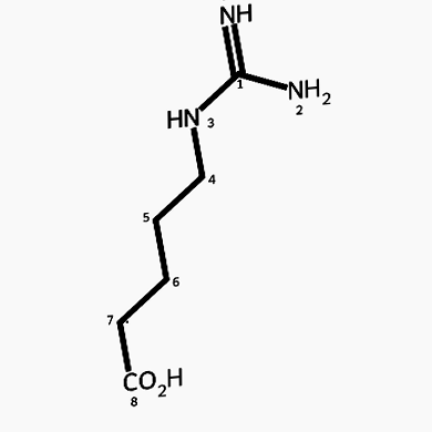 N=C(N)NCCC[CH]C(=O)O